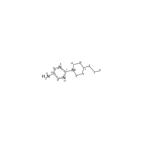 CCCC1CCN(c2ncc(N)cn2)CC1